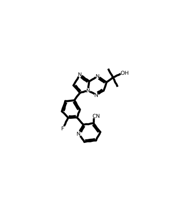 CC(C)(O)c1cnn2c(-c3ccc(F)c(-c4ncccc4C#N)c3)cnc2n1